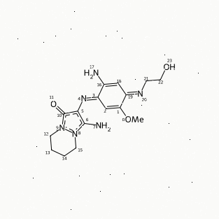 COC1=CC(=Nc2c(N)n3n(c2=O)CCCC3)C(N)=CC1=NCCO